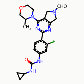 CC1COCCN1c1nc(-c2ccc(NC(=O)NC3CC3)cc2F)nc2c1CN(C=O)C2